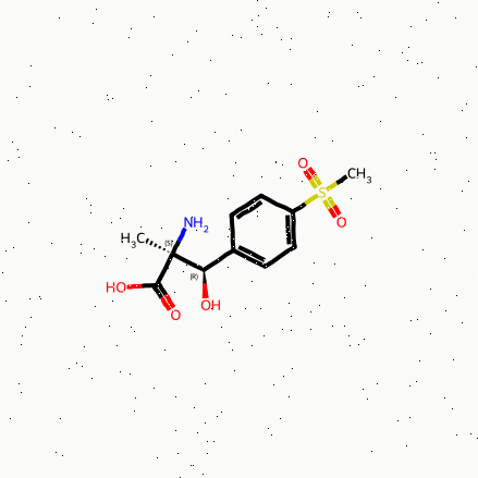 C[C@@](N)(C(=O)O)[C@H](O)c1ccc(S(C)(=O)=O)cc1